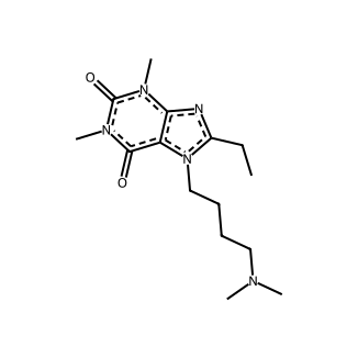 CCc1nc2c(c(=O)n(C)c(=O)n2C)n1CCCCN(C)C